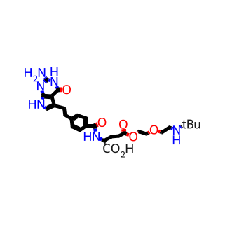 CC(C)(C)NCCOCCOC(=O)CC[C@H](NC(=O)c1ccc(CCc2c[nH]c3nc(N)[nH]c(=O)c23)cc1)C(=O)O